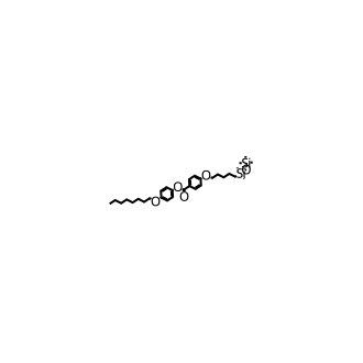 CCCCCCCCOc1ccc(OC(=O)c2ccc(OCCCCC[Si](C)(C)O[Si](C)(C)C)cc2)cc1